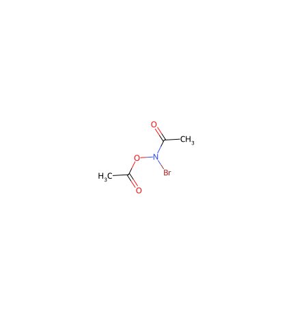 CC(=O)ON(Br)C(C)=O